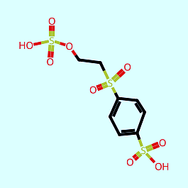 O=S(=O)(O)OCCS(=O)(=O)c1ccc(S(=O)(=O)O)cc1